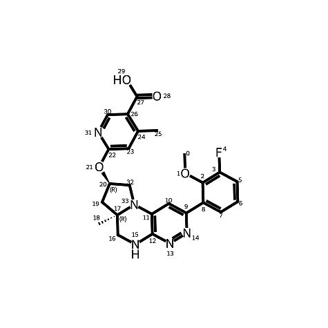 COc1c(F)cccc1-c1cc2c(nn1)NC[C@@]1(C)C[C@@H](Oc3cc(C)c(C(=O)O)cn3)CN21